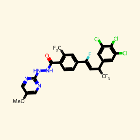 COc1cnc(NNC(=O)c2ccc(C(F)=CC(c3cc(Cl)c(Cl)c(Cl)c3)C(F)(F)F)cc2C(F)(F)F)nc1